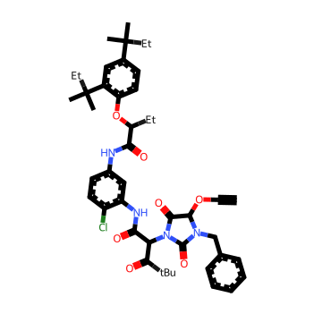 C#COC1C(=O)N(C(C(=O)Nc2cc(NC(=O)C(CC)Oc3ccc(C(C)(C)CC)cc3C(C)(C)CC)ccc2Cl)C(=O)C(C)(C)C)C(=O)N1Cc1ccccc1